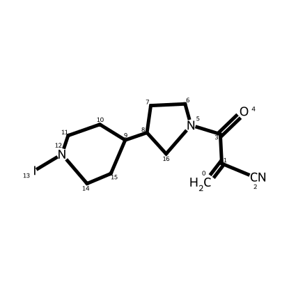 C=C(C#N)C(=O)N1CCC(C2CCN(I)CC2)C1